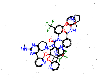 CNc1nccc(-c2cccnc2OC2(Oc3ncccc3-c3ccnc(NC)n3)C(N3CCCCC3)=C(C(=O)N(c3cc(OC[C@@]4(C)CCCN4)cc(C(F)(F)F)c3)c3ccccc3C(=O)Nc3ccccc3)C=C(C(F)(F)F)C2(C)C)n1